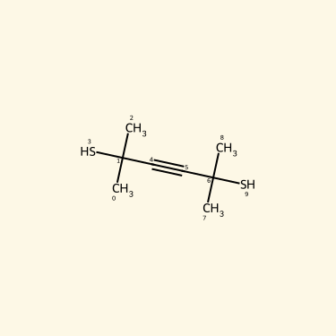 CC(C)(S)C#CC(C)(C)S